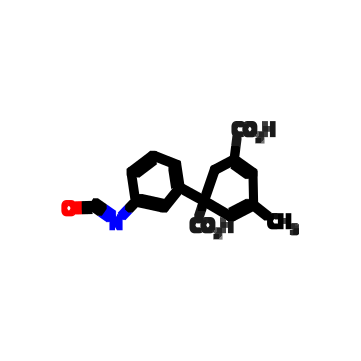 CC1=CC(C(=O)O)(c2cccc(N=C=O)c2)CC(C(=O)O)=C1